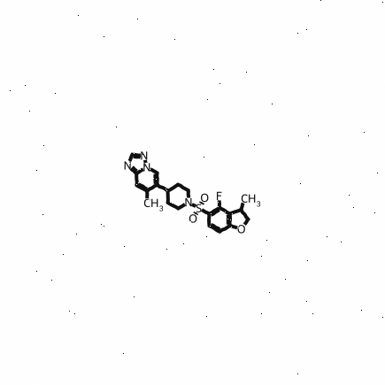 Cc1cc2ncnn2cc1C1CCN(S(=O)(=O)c2ccc3c(c2F)C(C)CO3)CC1